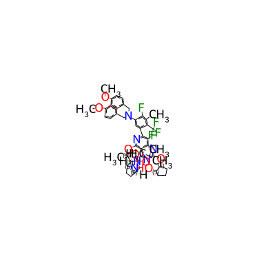 COc1ccc(CN(Cc2ccc(OC)cc2)c2cc(-c3nc4c5c(nc(O[C@H]6CCC[C@@H]6O)nc5c3F)N3C[C@H]5CC[C@@H]([C@H]3[C@H](C)O4)N5C(=O)OC(C)(C)C)c(C(F)(F)F)c(C)c2F)cc1